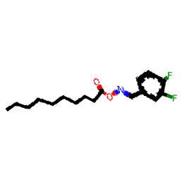 CCCCCCCCCC(=O)ON=Cc1ccc(F)c(F)c1